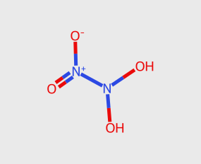 O=[N+]([O-])N(O)O